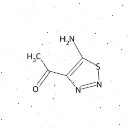 CC(=O)c1nnsc1N